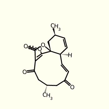 COC1=C2C(=O)C[C@@H](C)CC(=O)/C=C/[C@@H]3C=C[C@H](C)C[C@]13OC2=O